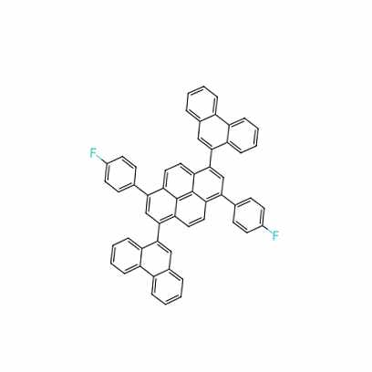 Fc1ccc(-c2cc(-c3cc4ccccc4c4ccccc34)c3ccc4c(-c5ccc(F)cc5)cc(-c5cc6ccccc6c6ccccc56)c5ccc2c3c45)cc1